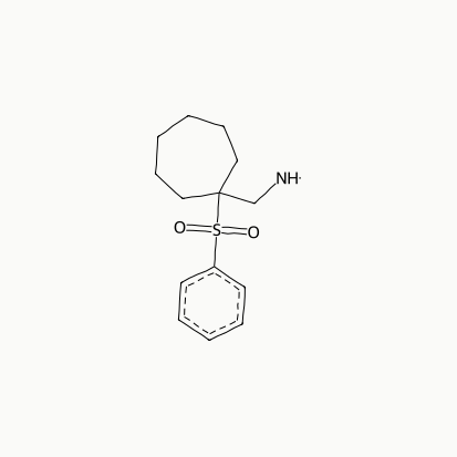 [NH]CC1(S(=O)(=O)c2ccccc2)CCCCCC1